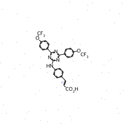 O=C(O)/C=C/c1ccc(Nc2nc(-c3ccc(OC(F)(F)F)cc3)nc(-c3ccc(OC(F)(F)F)cc3)n2)cc1